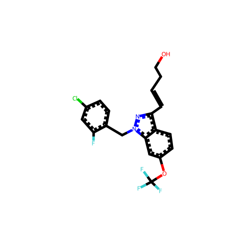 OCCC=Cc1nn(Cc2ccc(Cl)cc2F)c2cc(OC(F)(F)F)ccc12